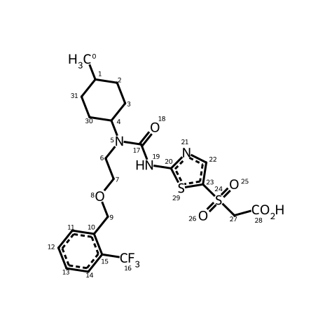 CC1CCC(N(CCOCc2ccccc2C(F)(F)F)C(=O)Nc2ncc(S(=O)(=O)CC(=O)O)s2)CC1